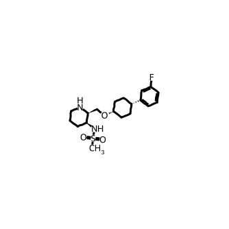 CS(=O)(=O)N[C@H]1CCCN[C@H]1CO[C@H]1CC[C@@H](c2cccc(F)c2)CC1